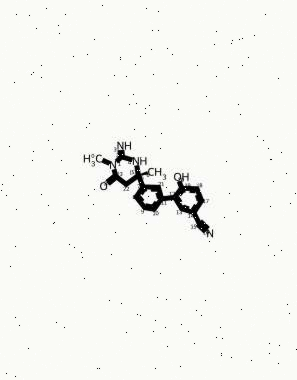 CN1C(=N)N[C@](C)(c2cccc(-c3cc(C#N)ccc3O)c2)CC1=O